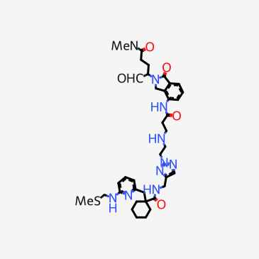 CNC(=O)CCC(C=O)N1Cc2c(NC(=O)CCNCCn3ncc(CNC(=O)C4(Cc5cccc(NCSC)n5)CCCCC4)n3)cccc2C1=O